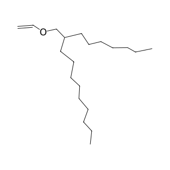 C=COCC(CCCCCCC)CCCCCCCCC